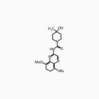 CCCCC1=c2ncc(NC(=O)N3CCC(C)(O)CC3)nc2=C(OC)CC1